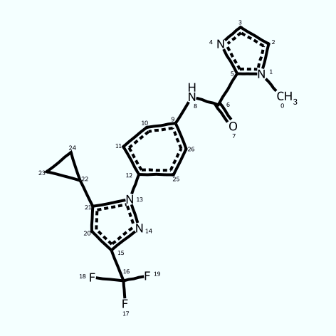 Cn1ccnc1C(=O)Nc1ccc(-n2nc(C(F)(F)F)cc2C2CC2)cc1